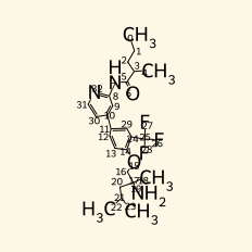 CCCC(C)C(=O)Nc1cc(-c2ccc(OCC(C)(N)CC(C)C)c(C(F)(F)F)c2)ccn1